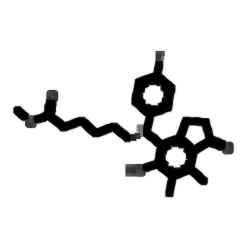 COC(=O)CCCCC[C@H](c1ccc(F)cc1)c1c(O)c(C)c(C)c2c1CCC2=O